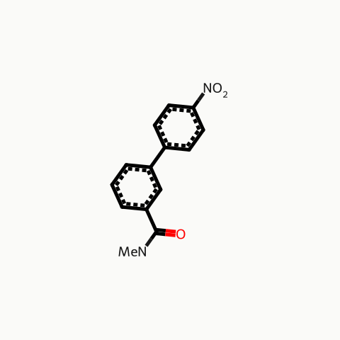 CNC(=O)c1cccc(-c2ccc([N+](=O)[O-])cc2)c1